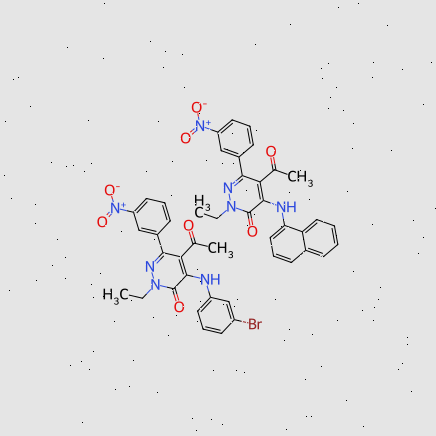 CCn1nc(-c2cccc([N+](=O)[O-])c2)c(C(C)=O)c(Nc2cccc(Br)c2)c1=O.CCn1nc(-c2cccc([N+](=O)[O-])c2)c(C(C)=O)c(Nc2cccc3ccccc23)c1=O